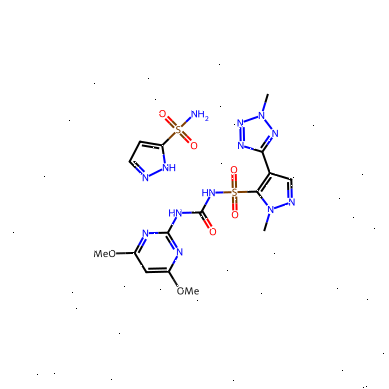 COc1cc(OC)nc(NC(=O)NS(=O)(=O)c2c(-c3nnn(C)n3)cnn2C)n1.NS(=O)(=O)c1ccn[nH]1